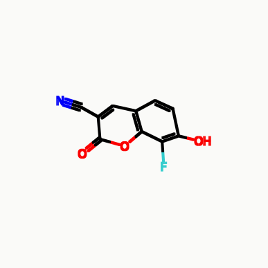 N#Cc1cc2ccc(O)c(F)c2oc1=O